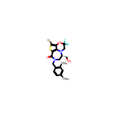 COc1ccc(CN2C[C@@H](CO)N3CC(F)(F)Oc4c(Br)sc(c43)C2=O)c(OC)c1